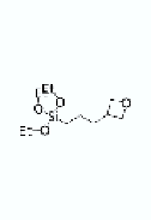 CCO[Si](CCCC1COC1)(OCC)OCC